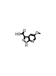 COc1cnc2[nH]nc(C(=O)O)c2c1